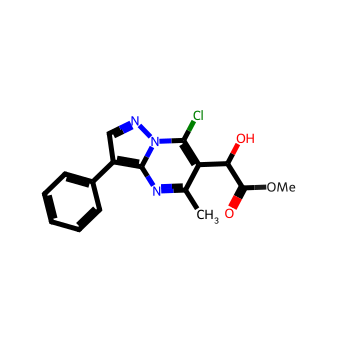 COC(=O)C(O)c1c(C)nc2c(-c3ccccc3)cnn2c1Cl